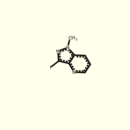 Cn1nc(I)c2ncccc21